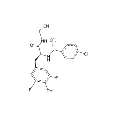 N#CCNC(=O)[C@H](Cc1cc(F)c(O)c(F)c1)N[C@@H](c1ccc(Cl)cc1)C(F)(F)F